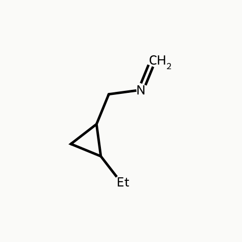 C=NCC1CC1CC